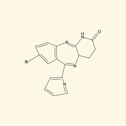 O=C1CCC2N=C(c3ccccn3)c3cc(Br)ccc3N=C2N1